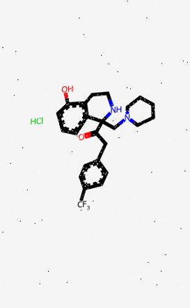 Cl.O=C(Cc1ccc(C(F)(F)F)cc1)C1(CN2CCCCC2)NCCc2c(O)cccc21